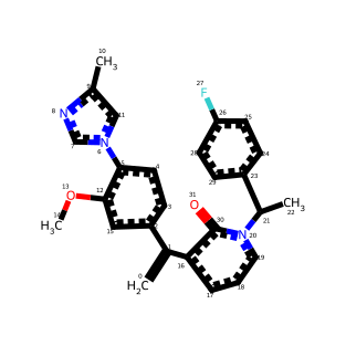 C=C(c1ccc(-n2cnc(C)c2)c(OC)c1)c1cccn(C(C)c2ccc(F)cc2)c1=O